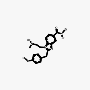 CCOc1ccc(Cc2nc3cc(C(=O)N(CC)CC)ccc3n2CCN(C)C(C)=O)cc1